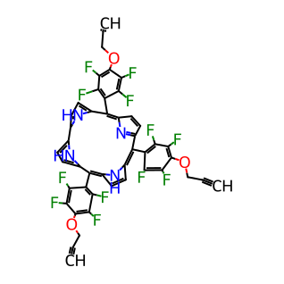 C#CCOc1c(F)c(F)c(-c2c3nc(c(-c4c(F)c(F)c(OCC#C)c(F)c4F)c4ccc([nH]4)c4ccc([nH]4)c(-c4c(F)c(F)c(OCC#C)c(F)c4F)c4ccc2[nH]4)C=C3)c(F)c1F